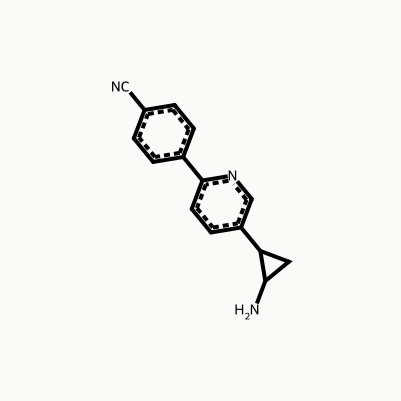 N#Cc1ccc(-c2ccc(C3CC3N)cn2)cc1